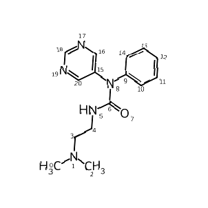 CN(C)CCNC(=O)N(c1ccccc1)c1cncnc1